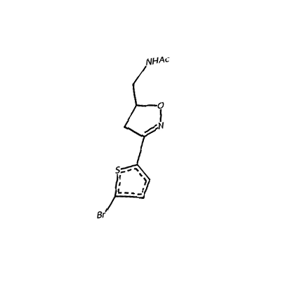 CC(=O)NCC1CC(c2ccc(Br)s2)=NO1